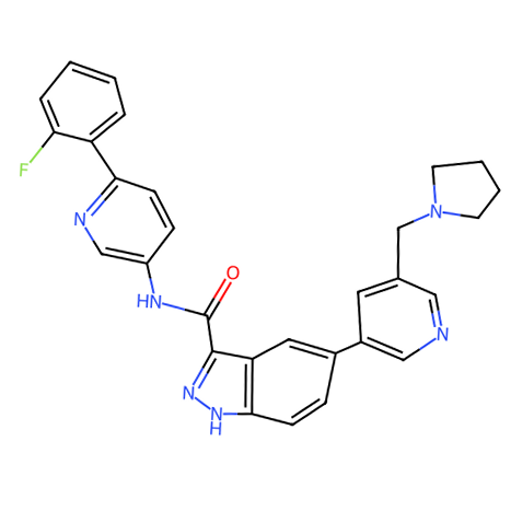 O=C(Nc1ccc(-c2ccccc2F)nc1)c1n[nH]c2ccc(-c3cncc(CN4CCCC4)c3)cc12